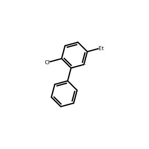 CCc1[c]c(-c2ccccc2)c(Cl)cc1